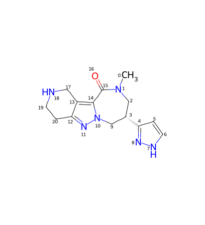 CN1C[C@H](c2cc[nH]n2)Cn2nc3c(c2C1=O)CNCC3